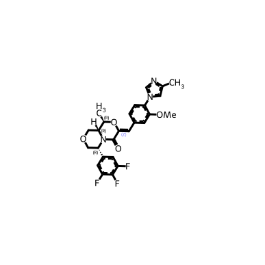 COc1cc(/C=C2\O[C@H](C)[C@H]3COC[C@@H](c4cc(F)c(F)c(F)c4)N3C2=O)ccc1-n1cnc(C)c1